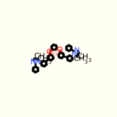 CC1(C)CN=C(c2ccccc2)N1c1cccc(-c2ccc3c(c2)Oc2cccc4c2B3c2ccc(-c3cccc(N5C(c6ccccc6)=NCC5(C)C)c3)cc2O4)c1